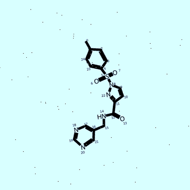 Cc1ccc(S(=O)(=O)n2ccc(C(=O)NCc3cncnc3)n2)cc1